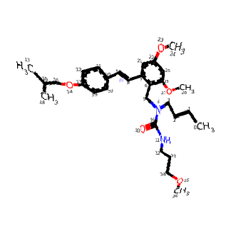 CCCCN(Cc1c(/C=C/c2ccc(OCC(C)C)cc2)cc(OC)cc1OC)C(=O)NCCCOC